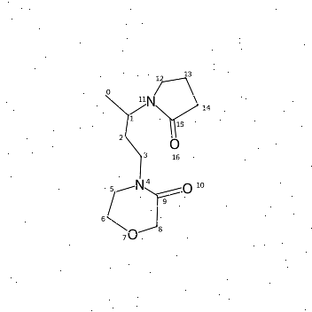 CC(CCN1CCOCC1=O)N1CCCC1=O